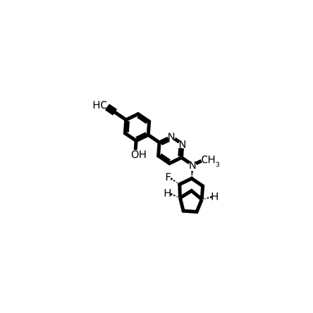 C#Cc1ccc(-c2ccc(N(C)[C@@H]3C[C@H]4CC[C@H](C4)[C@@H]3F)nn2)c(O)c1